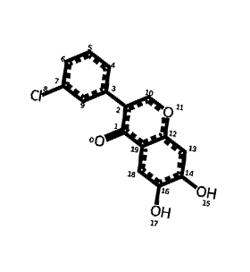 O=c1c(-c2cccc(Cl)c2)coc2cc(O)c(O)cc12